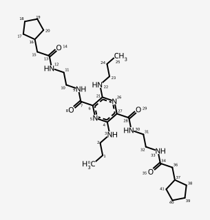 CCCNc1nc(C(=O)NCCNC(=O)CC2CCCC2)c(NCCC)nc1C(=O)NCCNC(=O)CC1CCCC1